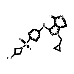 O=c1[nH]ccc2c1c(Nc1ccc(S(=O)(=O)N3CC(O)C3)cc1)nn2CC1CC1